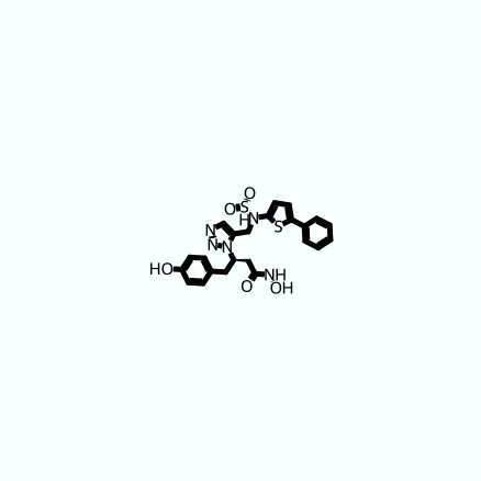 O=C(C[C@@H](Cc1ccc(O)cc1)n1nncc1CN(c1ccc(-c2ccccc2)s1)[SH](=O)=O)NO